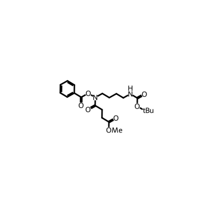 COC(=O)CCC(=O)N(CCCCNC(=O)OC(C)(C)C)OC(=O)c1ccccc1